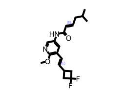 COc1ncc(NC(=O)/C=C/CC(C)C)cc1/C=C/C1CC(F)(F)C1